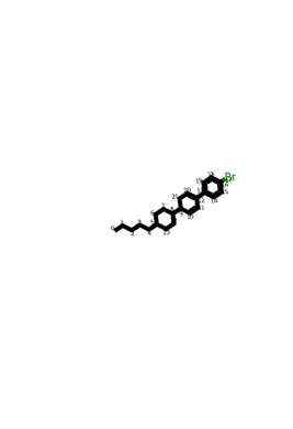 CCCCCC1CCC(C2C=CC(c3ccc(Br)cc3)=CC2)CC1